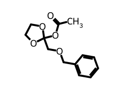 CC(=O)OC1(COCc2ccccc2)OCCO1